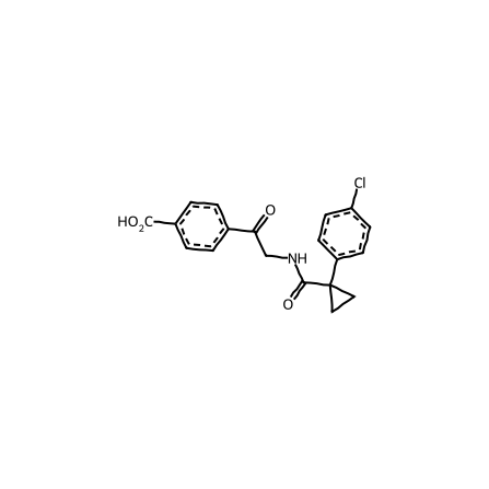 O=C(O)c1ccc(C(=O)CNC(=O)C2(c3ccc(Cl)cc3)CC2)cc1